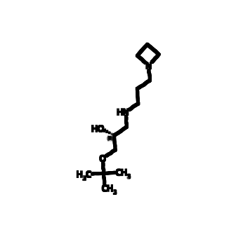 CC(C)(C)OC[C@H](O)CNCCCN1CCC1